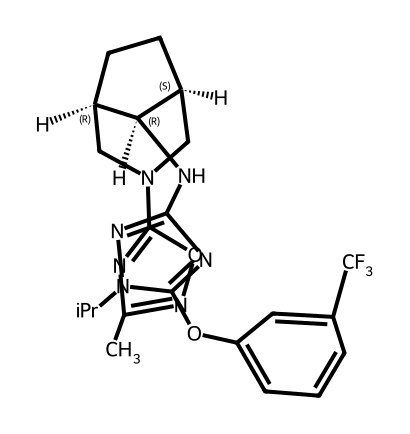 Cc1noc(N2C[C@H]3CC[C@@H](C2)[C@H]3Nc2nc(Oc3cccc(C(F)(F)F)c3)n(C(C)C)n2)n1